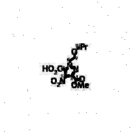 COC(=O)c1nn(CCOC(C)C)c(C(=O)O)c1[N+](=O)[O-]